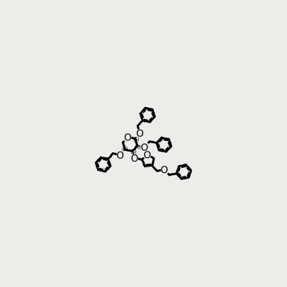 C1=C(COCc2ccccc2)COC1O[C@@H]1[C@@H](OCc2ccccc2)[C@@H](OCc2ccccc2)OC[C@H]1OCc1ccccc1